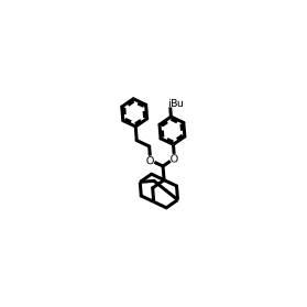 CCC(C)c1ccc(OC(OCCc2ccccc2)C23CC4CC(CC(C4)C2)C3)cc1